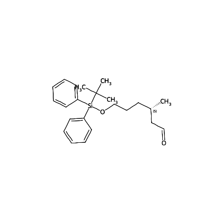 C[C@H](CC=O)CCCO[Si](c1ccccc1)(c1ccccc1)C(C)(C)C